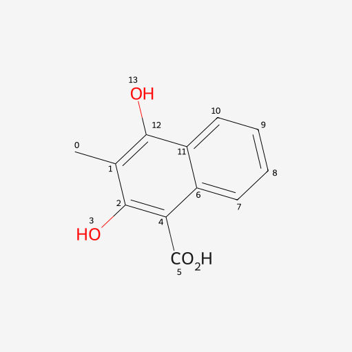 Cc1c(O)c(C(=O)O)c2ccccc2c1O